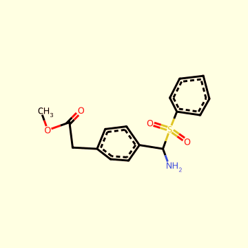 COC(=O)Cc1ccc(C(N)S(=O)(=O)c2ccccc2)cc1